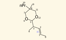 C/C=C/C(C)C1OCC(C)(CCC)CO1